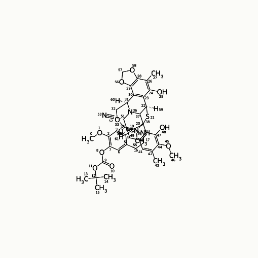 COc1cc2c(cc1OC(=O)OC(C)(C)C)CCN[C@]21CS[C@@H]2c3c(O)c(C)c4c(c3[C@H](COC1=O)N1C2C2c3c(cc(C)c(OC)c3O)C[C@@H]([C@@H]1C#N)N2C)OCO4